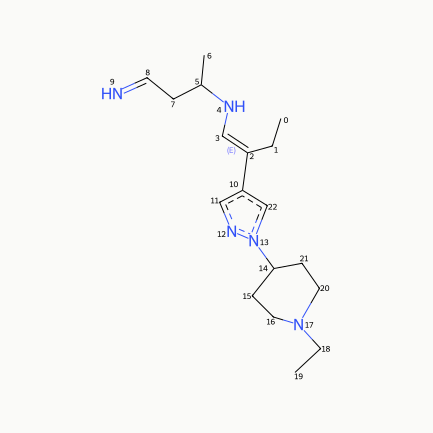 CC/C(=C\NC(C)CC=N)c1cnn(C2CCN(CC)CC2)c1